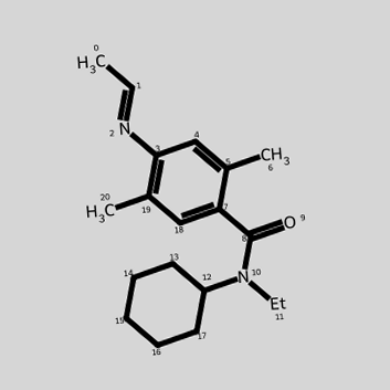 C/C=N/c1cc(C)c(C(=O)N(CC)C2CCCCC2)cc1C